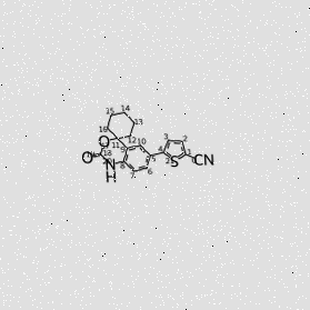 N#Cc1ccc(-c2ccc3c(c2)C2(CCCCC2)OC(=O)N3)s1